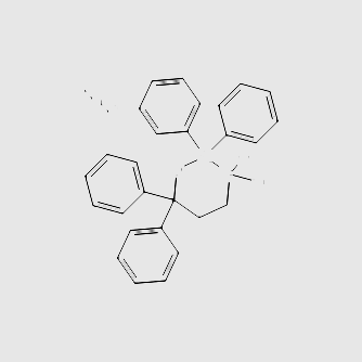 [Na+].[Na+].[O-][Si]1([O-])CCC(c2ccccc2)(c2ccccc2)O[Si]1(c1ccccc1)c1ccccc1